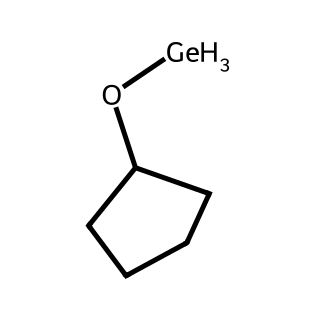 [GeH3][O]C1CCCC1